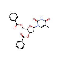 Cc1cn([C@H]2C[C@@H](OC(=O)c3ccccc3)[C@@H](COC(=O)c3ccccc3)O2)c(=O)[nH]c1=O